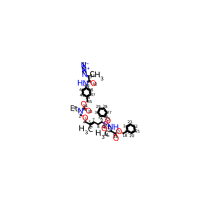 CCN(COC/C(C)=C/CCP(=O)(N[C@@H](C)C(=O)OCc1ccccc1)Oc1ccccc1)C(=O)OCc1ccc(NC(=O)[C@H](C)N=[N+]=[N-])cc1